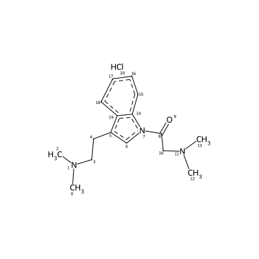 CN(C)CCc1cn(C(=O)CN(C)C)c2ccccc12.Cl